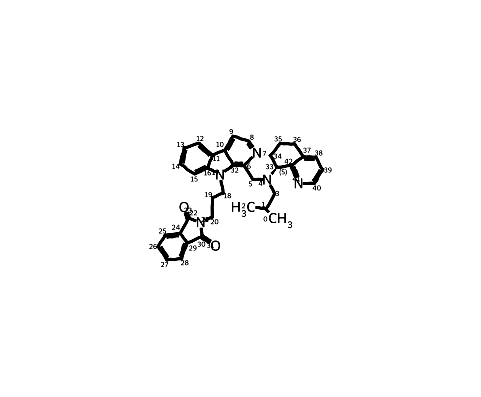 CC(C)CN(Cc1nccc2c3ccccc3n(CCCN3C(=O)c4ccccc4C3=O)c12)[C@H]1CCCc2cccnc21